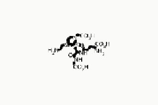 NC(CCC(=O)NC(CS)C(=O)NCC(=O)O)C(=O)O.NCCS.O=C(O)CN1C=CC=CC1